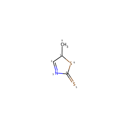 CC1C=NC(=S)S1